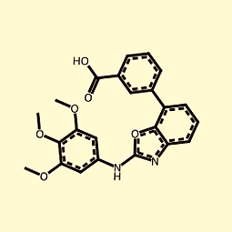 COc1cc(Nc2nc3cccc(-c4cccc(C(=O)O)c4)c3o2)cc(OC)c1OC